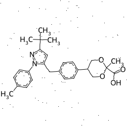 Cc1ccc(-n2nc(C(C)(C)C)cc2Cc2ccc(C3COC(C)(C(=O)O)OC3)cc2)cc1